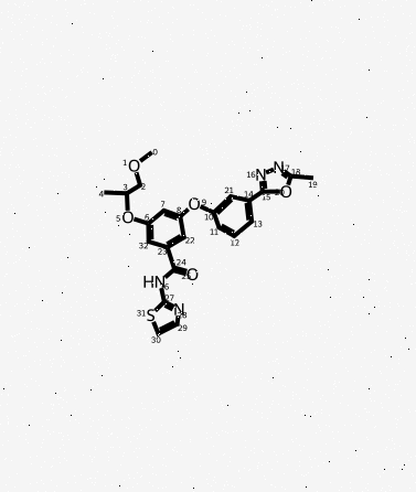 COCC(C)Oc1cc(Oc2cccc(-c3nnc(C)o3)c2)cc(C(=O)Nc2nccs2)c1